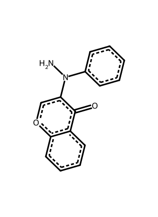 NN(c1ccccc1)c1coc2ccccc2c1=O